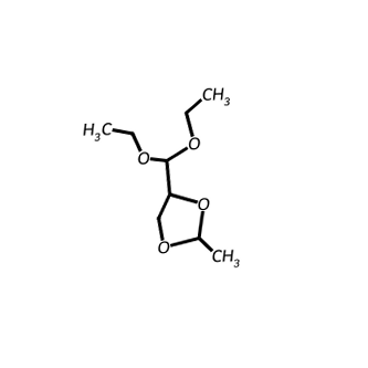 CCOC(OCC)C1COC(C)O1